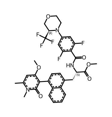 COC(=O)[C@H](Cc1ccc(-c2c(OC)cc(C)n(C)c2=O)c2ccccc12)NC(=O)c1c(F)cc(N2CCOC[C@@H]2C(F)(F)F)cc1F